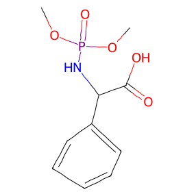 COP(=O)(NC(C(=O)O)c1ccccc1)OC